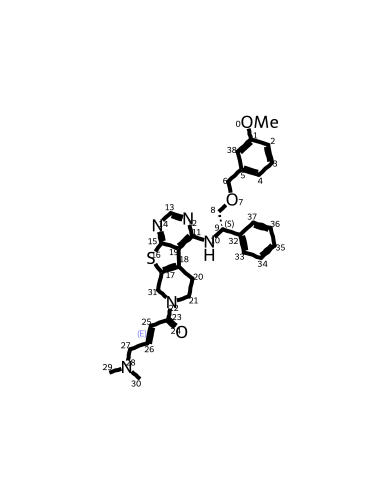 COc1cccc(COC[C@@H](Nc2ncnc3sc4c(c23)CCN(C(=O)/C=C/CN(C)C)C4)c2ccccc2)c1